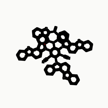 C=C1c2ccccc2N(c2c(-n3c4ccccc4c4c5oc6ccccc6c5ccc43)c(C#N)c(-n3c4ccccc4c4c5oc6ccccc6c5ccc43)c(C#N)c2-n2c3ccccc3c3c4oc5ccccc5c4ccc32)C(C)c2c1oc1ccccc21